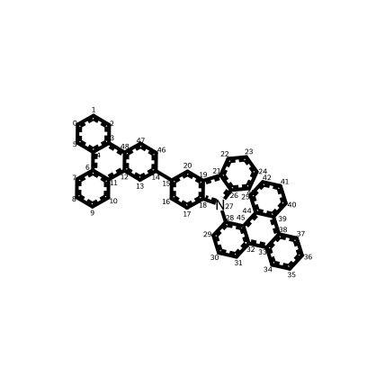 c1ccc2c(c1)c1ccccc1c1cc(-c3ccc4c(c3)c3ccccc3n4-c3cccc4c5ccccc5c5ccccc5c34)ccc21